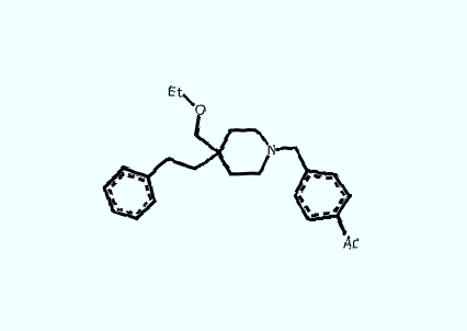 CCOCC1(CCc2ccccc2)CCN(Cc2ccc(C(C)=O)cc2)CC1